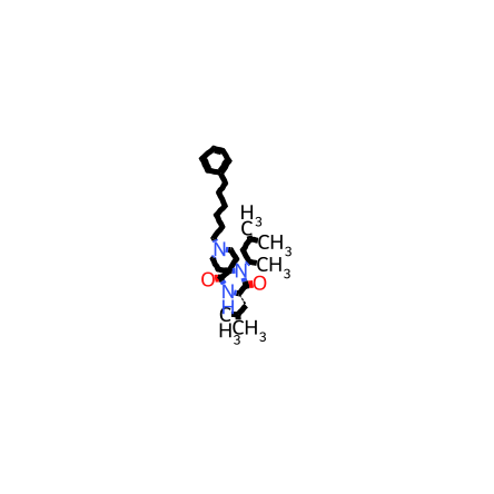 CC(C)CC(C)N1C(=O)[C@H](CC(C)C)NC(=O)C12CCN(CCCCCCc1ccccc1)CC2